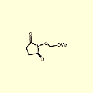 COCON1C(=O)CCC1=O